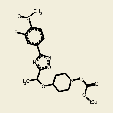 CC(OC1CCN(OC(=O)OC(C)(C)C)CC1)c1nc(-c2ccc([S+](C)[O-])c(F)c2)no1